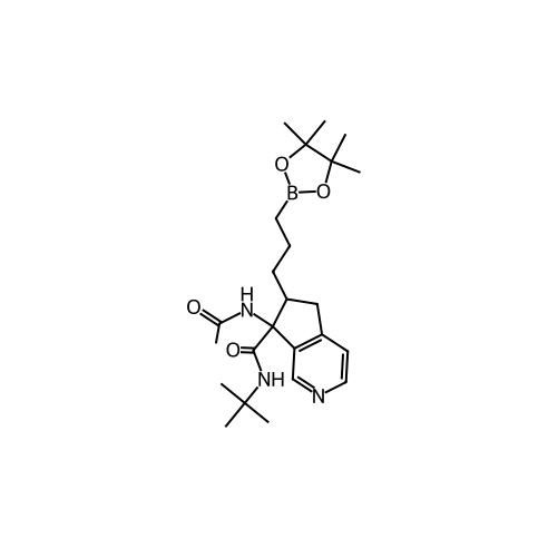 CC(=O)NC1(C(=O)NC(C)(C)C)c2cnccc2CC1CCCB1OC(C)(C)C(C)(C)O1